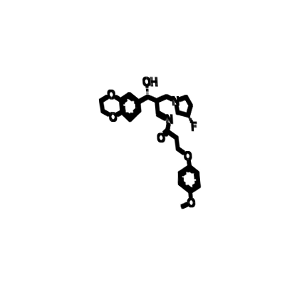 COc1ccc(OCCC(=O)/N=C/C(CN2CC[C@H](F)C2)[C@@H](O)c2ccc3c(c2)OCCO3)cc1